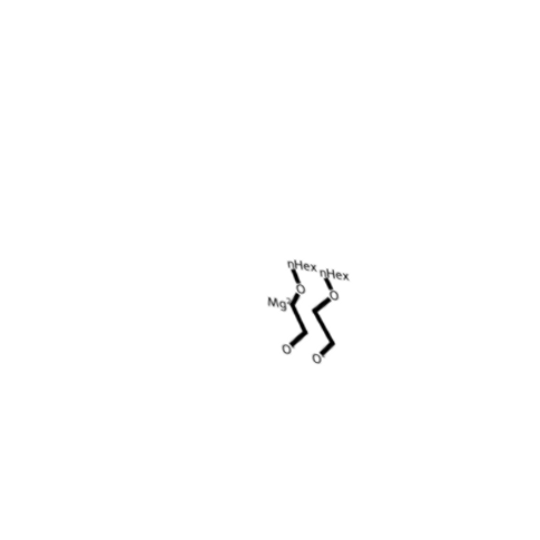 CCCCCCOCC[O-].CCCCCCOCC[O-].[Mg+2]